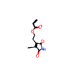 C=CC(=O)OCCC1=C(C)C(=O)NC1=O